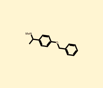 CNC(C)c1ccc(OCc2ccccc2)cc1